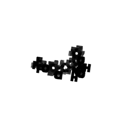 O=c1[nH]c(C2CC=C(c3ccc(OCC(F)(F)F)cc3Cl)CC2)c(Cc2ccccc2)c(=O)[nH]1